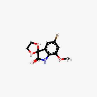 COc1cc(Br)cc2c1NC(=O)C21OCCO1